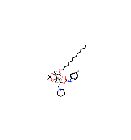 CCCCCCCCCCCCO[C@H]1O[C@H]([C@@H](CN2CCCCCC2)OC(=O)Nc2ccc(C)cc2)[C@@H]2OC(C)(C)O[C@H]12